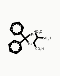 CCC[C]([Na])(c1ccccc1)c1ccccc1.O=C(O)CC(C(=O)O)S(=O)(=O)O